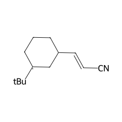 CC(C)(C)[C]1CCCC(C=CC#N)C1